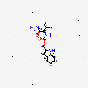 CC(C)[C@H](NC(=O)OCc1cc2ccccc2[nH]1)C(N)=O